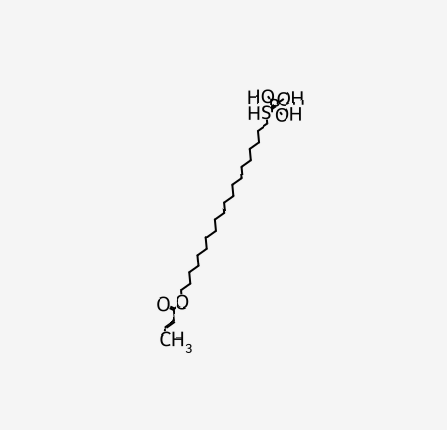 CC=CC(=O)OCCCCCCCCCCCCCCCCCCCC[SH]=P(O)(O)O